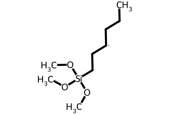 CCC[CH]CC[Si](OC)(OC)OC